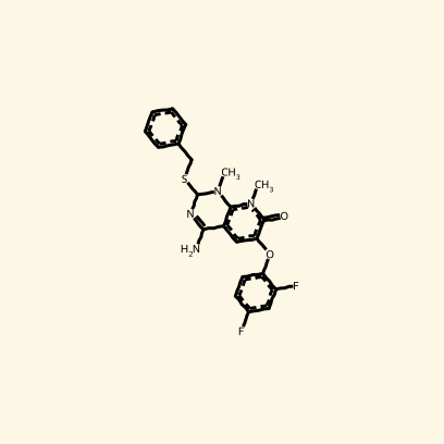 CN1c2c(cc(Oc3ccc(F)cc3F)c(=O)n2C)C(N)=NC1SCc1ccccc1